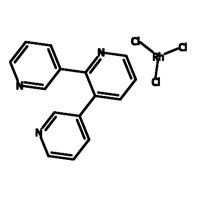 [Cl][Rh]([Cl])[Cl].c1cncc(-c2cccnc2-c2cccnc2)c1